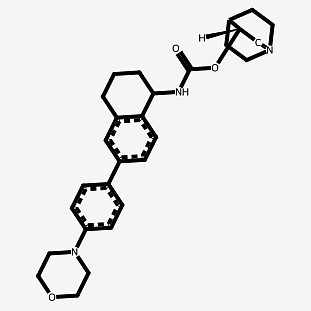 O=C(NC1CCCc2cc(-c3ccc(N4CCOCC4)cc3)ccc21)O[C@H]1CN2CCC1CC2